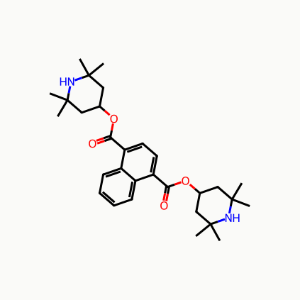 CC1(C)CC(OC(=O)c2ccc(C(=O)OC3CC(C)(C)NC(C)(C)C3)c3ccccc23)CC(C)(C)N1